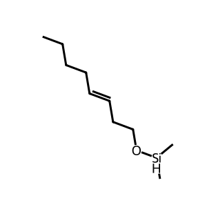 CCCCC=CCCO[SiH](C)C